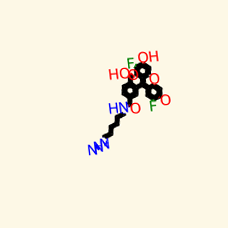 [N-]=[N+]=NCCCCCCNC(=O)c1ccc(C(=O)O)c(-c2c3cc(F)c(=O)cc-3oc3cc(O)c(F)cc23)c1